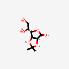 CC1(C)OC2C(=O)O[C@@H](C(O)CO)C2O1